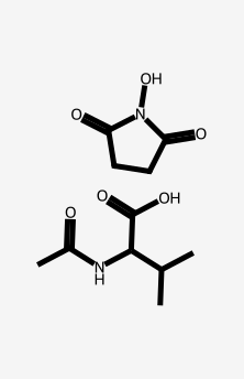 CC(=O)NC(C(=O)O)C(C)C.O=C1CCC(=O)N1O